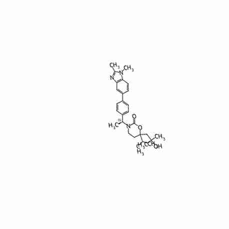 Cc1nc2cc(-c3ccc([C@H](C)N4CCC(CC(C)(C)O)(C(C)C)OC4=O)cc3)ccc2n1C